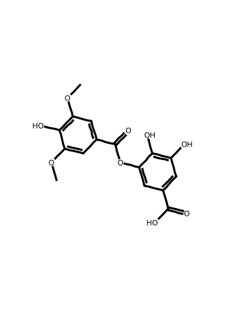 COc1cc(C(=O)Oc2cc(C(=O)O)cc(O)c2O)cc(OC)c1O